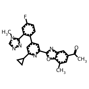 CC(=O)c1cc(C)c2oc(-c3cc(-c4ccc(F)cc4-c4nncn4C)cc(C4CC4)n3)nc2c1